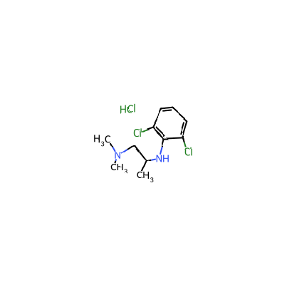 CC(CN(C)C)Nc1c(Cl)cccc1Cl.Cl